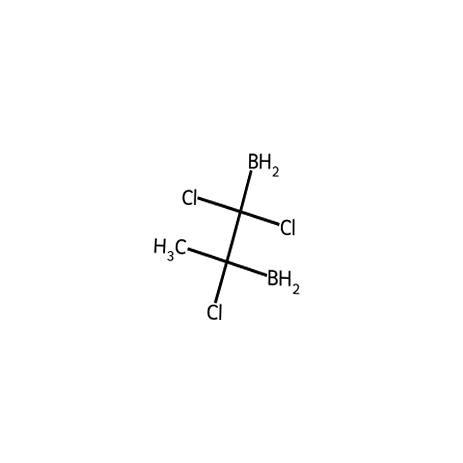 BC(C)(Cl)C(B)(Cl)Cl